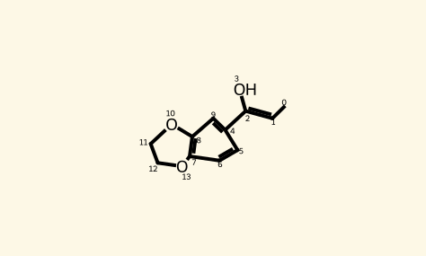 CC=C(O)c1ccc2c(c1)OCCO2